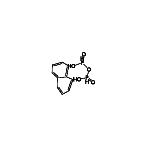 O=[PH](O)O[PH](=O)O.c1ccc2ccccc2c1